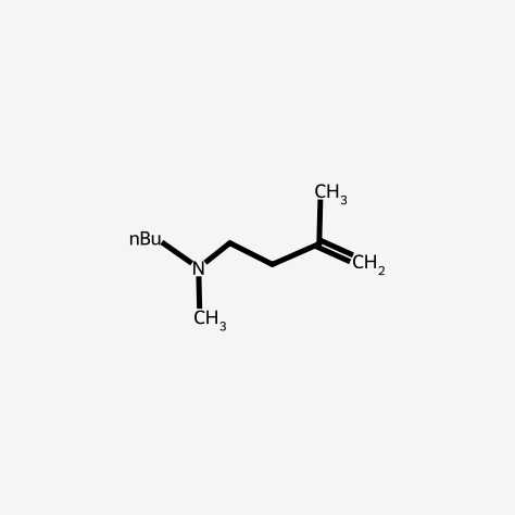 C=C(C)CCN(C)CCCC